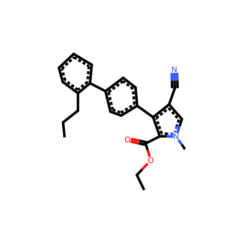 CCCc1ccccc1-c1ccc(-c2c(C#N)cn(C)c2C(=O)OCC)cc1